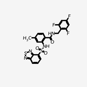 Cc1ccc(C(=O)NCc2c(F)cc(F)cc2F)c(NS(=O)(=O)c2cccc3nsnc23)c1